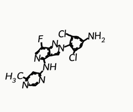 Cc1cc(Nc2ncc(F)c3nn(-c4c(Cl)cc(N)cc4Cl)cc23)ncn1